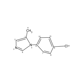 Cc1cncn1-c1ccc(Cl)cc1